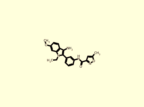 CCn1c(-c2cccc(NC(=O)c3cc(C)on3)c2)c(N)c2ccc(OC)cc21